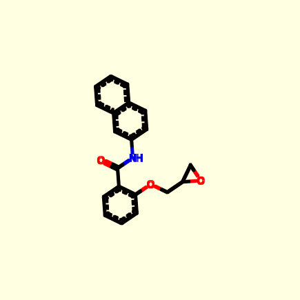 O=C(Nc1ccc2ccccc2c1)c1ccccc1OCC1CO1